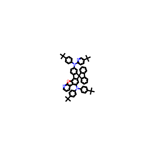 CC(C)(C)c1ccc(N(c2ccc3c(c2)C2(c4ccccc4-c4ccccc42)c2cc(N(c4ccc(C(C)(C)C)cc4)c4ccc(C(C)(C)C)cc4)c4c(oc5ncccc54)c2-3)c2ccc(C(C)(C)C)cn2)cc1